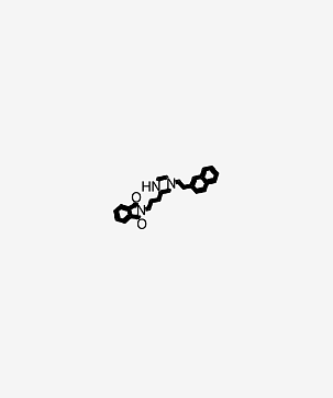 O=C1c2ccccc2C(=O)N1CCCC1CN(CCc2ccc3ccccc3c2)CCN1